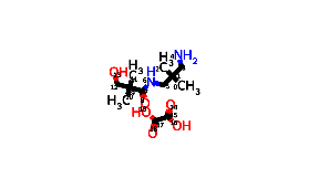 CC(C)(CN)CNC(=O)C(C)(C)CO.O=C(O)C(=O)O